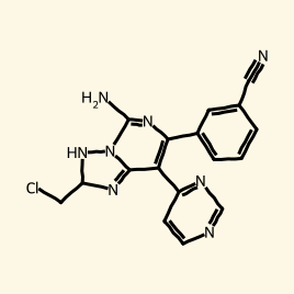 N#Cc1cccc(C2=C(c3ccncn3)C3=NC(CCl)NN3C(N)=N2)c1